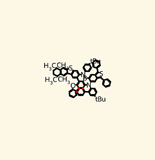 CC(C)(C)c1ccc(N2B3c4cc5c(-c6ccccc6)sc(-c6ccccc6)c5cc4N(c4ccc(C(C)(C)C)cc4-c4ccccc4)c4cc5c(oc6ccccc65)c(c43)-c3cc4c(cc32)sc2cc3c(cc24)C(C)(C)CCC3(C)C)cc1